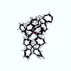 CC1(C)c2ccccc2-c2ccc(N(c3ccc4c(c3)C3(c5ccccc5-c5ccc(N(c6ccccc6)c6ccccc6)cc53)c3ccccc3-4)c3cccc4oc5ccccc5c34)cc21